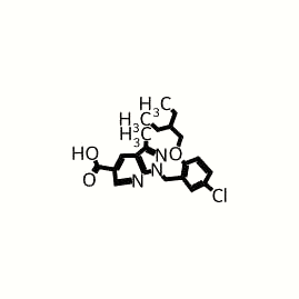 CCC(CC)COc1ccc(Cl)cc1Cn1nc(C)c2cc(C(=O)O)cnc21